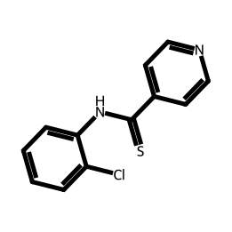 S=C(Nc1ccccc1Cl)c1ccncc1